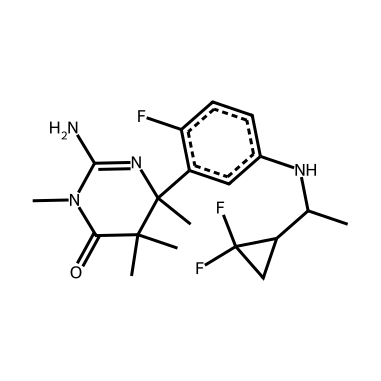 CC(Nc1ccc(F)c(C2(C)N=C(N)N(C)C(=O)C2(C)C)c1)C1CC1(F)F